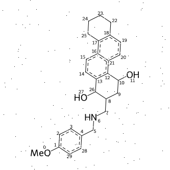 COc1ccc(CNCC2CC(O)c3c(ccc4c5c(ccc34)CCCC5)C2O)cc1